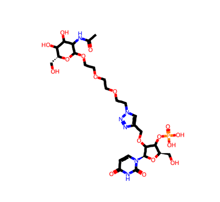 CC(=O)NC1C(OCCOCCOCCn2cc(COC3C(OP(=O)(O)O)[C@@H](CO)O[C@H]3n3ccc(=O)[nH]c3=O)nn2)O[C@H](CO)C(O)C1O